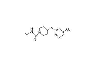 CCNC(=O)N1CCC(Cc2cccc(OC)c2)CC1